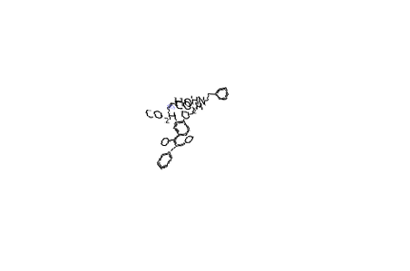 O=C(O)/C=C\C(=O)O.O=c1c(-c2ccccc2)coc2cc(OCC(O)CNCCc3ccccc3)ccc12